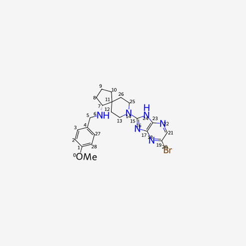 COc1ccc(CN[C@@H]2CCCC23CCN(c2nc4nc(Br)cnc4[nH]2)CC3)cc1